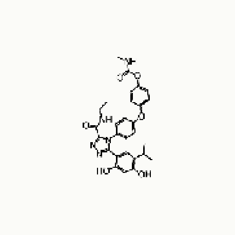 CCNC(=O)c1nnc(-c2cc(C(C)C)c(O)cc2O)n1-c1ccc(Oc2ccc(OC(=O)NC)cc2)cc1